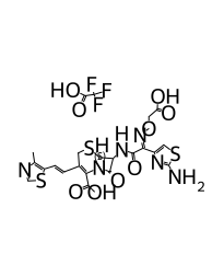 Cc1ncsc1C=CC1=C(C(=O)O)N2C(=O)C(NC(=O)C(=NOCC(=O)O)c3csc(N)n3)[C@@H]2SC1.O=C(O)C(F)(F)F